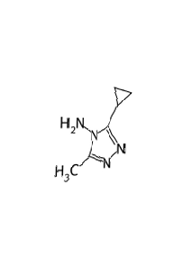 Cc1nnc(C2CC2)n1N